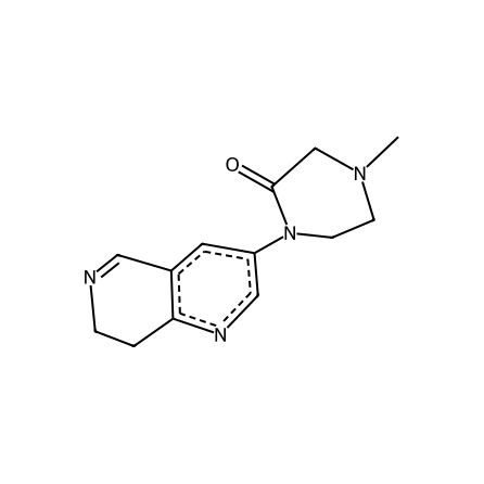 CN1CCN(c2cnc3c(c2)C=NCC3)C(=O)C1